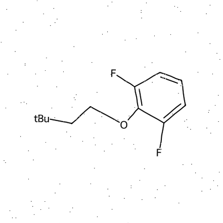 CC(C)(C)CCOc1c(F)cccc1F